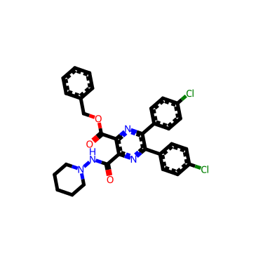 O=C(NN1CCCCC1)c1nc(-c2ccc(Cl)cc2)c(-c2ccc(Cl)cc2)nc1C(=O)OCc1ccccc1